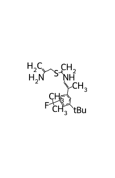 C=C(N)CSC(=C)N/C=C(\C)c1cc(C(C)(C)C)cc(C(C)(C)F)c1